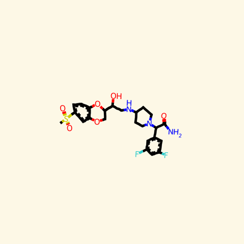 CS(=O)(=O)c1ccc2c(c1)OCC(C(O)CNC1CCN(C(C(N)=O)c3cc(F)cc(F)c3)CC1)O2